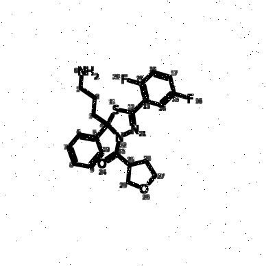 NCCCC1(c2ccccc2)SC(c2cc(F)ccc2F)=NN1C(=O)C1CCOC1